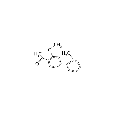 COc1cc(-c2ccccc2C)ccc1C(C)=O